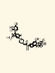 Cn1nc(N2CCC(=O)NC2=O)c2cc(F)c(N3CCC(CC(=O)Nc4ccc5c(F)c(N6CC(=O)NS6(=O)=O)c(O)cc5c4)CC3)cc21